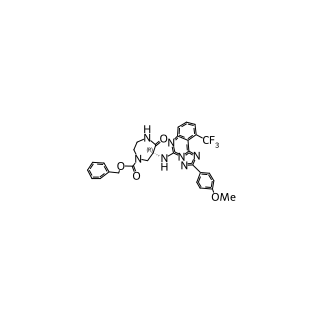 COc1ccc(-c2nc3c4c(C(F)(F)F)cccc4nc(N[C@@H]4CN(C(=O)OCc5ccccc5)CCNC4=O)n3n2)cc1